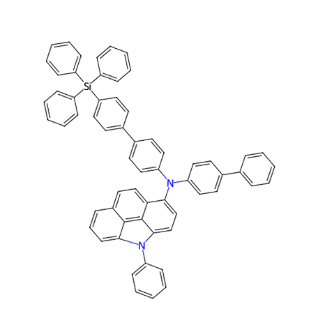 c1ccc(-c2ccc(N(c3ccc(-c4ccc([Si](c5ccccc5)(c5ccccc5)c5ccccc5)cc4)cc3)c3ccc4c5c3ccc3cccc(c35)n4-c3ccccc3)cc2)cc1